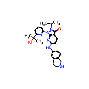 CC(C)n1c(=O)c2ccc(Nc3ccc4c(c3)CCNC4)nc2n1-c1cccc(C(C)(C)O)n1